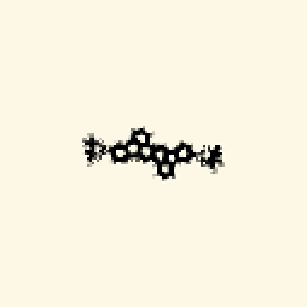 CC1(C)OB(c2ccc3c(c2)c2cccc4c5cc6c7ccc(B8OC(C)(C)C(C)(C)O8)cc7c7cccc(c5cc3c24)c76)OC1(C)C